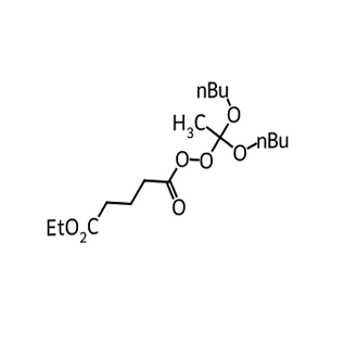 CCCCOC(C)(OCCCC)OOC(=O)CCCC(=O)OCC